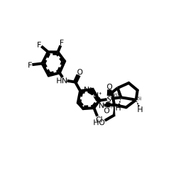 [N-]=[N+]=N[C@]1(CO)CC2CC[C@@H](C1)[C@H]2S(=O)(=O)c1cc(C(=O)Nc2cc(F)c(F)c(F)c2)ccc1Cl